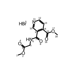 Br.COC(=O)CNC(=O)c1cnccc1C(=O)OC